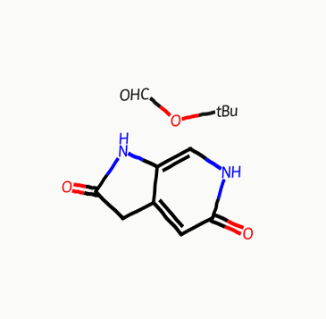 CC(C)(C)OC=O.O=C1Cc2cc(=O)[nH]cc2N1